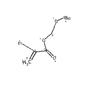 C=C(CC)C(=O)OCOC(C)(C)C